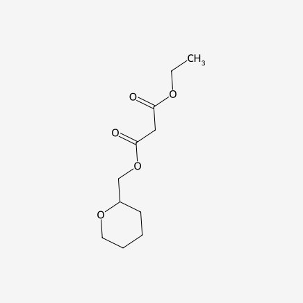 CCOC(=O)CC(=O)OCC1CCCCO1